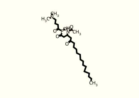 CCCCCCCCCCCCCCC(=O)CC(CC(=O)P(O)C(=O)CCCN(C)C)NC(C)=O